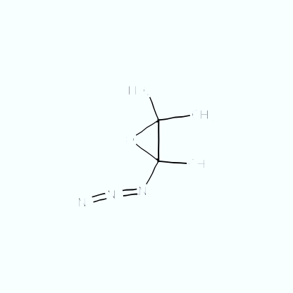 CC1(C)OC1(C)N=[N+]=[N-]